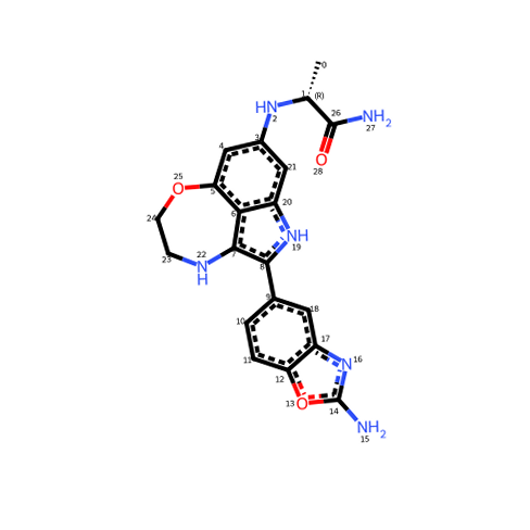 C[C@@H](Nc1cc2c3c(c(-c4ccc5oc(N)nc5c4)[nH]c3c1)NCCO2)C(N)=O